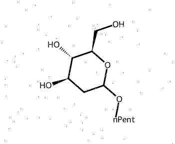 CCCCCOC1C[C@@H](O)[C@H](O)[C@@H](CO)O1